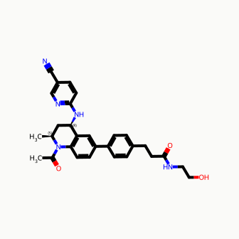 CC(=O)N1c2ccc(-c3ccc(CCC(=O)NCCO)cc3)cc2[C@H](Nc2ccc(C#N)cn2)C[C@@H]1C